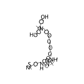 Cc1ncsc1-c1ccc(CNC(=O)[C@@H]2CCCN2C(=O)[C@@H](NC(=O)COCCOCCOCCOc2ccc(Cn3c(-c4ccc(O)cc4)c(C)c4cc(O)ccc43)cc2)C(C)(C)C)cc1